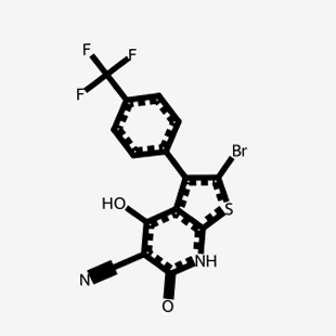 N#Cc1c(O)c2c(-c3ccc(C(F)(F)F)cc3)c(Br)sc2[nH]c1=O